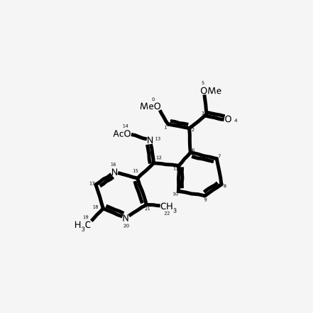 COC=C(C(=O)OC)c1ccccc1C(=NOC(C)=O)c1ncc(C)nc1C